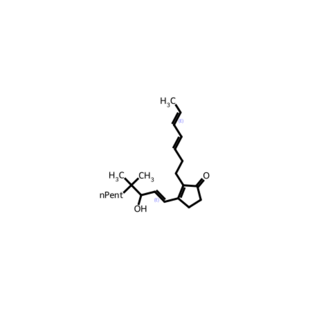 C/C=C/C=CCCC1=C(/C=C/C(O)C(C)(C)CCCCC)CCC1=O